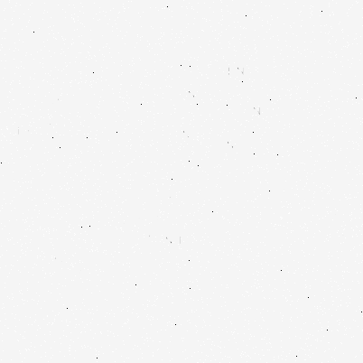 CNC(=O)C1(C)CC(n2cnc3c(NC)nc(C#Cc4ccc(Cl)s4)nc32)C(OC(=O)CCC(=O)O)C1OC(=O)CCC(=O)O